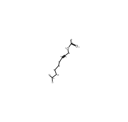 CC(=O)OCC#CCCCCC(C)C